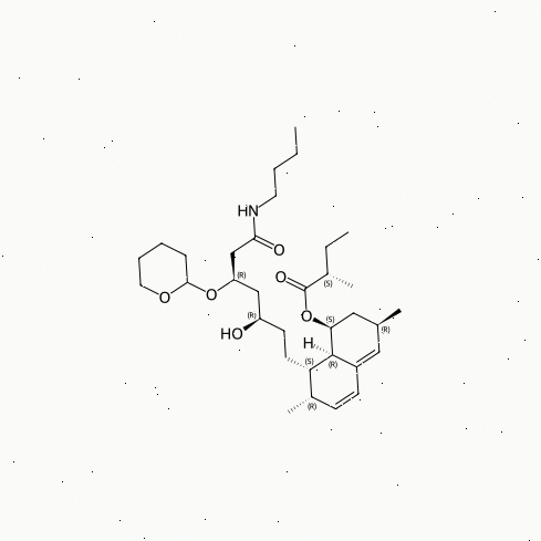 CCCCNC(=O)C[C@@H](C[C@H](O)CC[C@@H]1[C@@H]2C(=C[C@H](C)C[C@@H]2OC(=O)[C@@H](C)CC)C=C[C@@H]1C)OC1CCCCO1